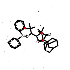 COC(=O)C12CC3CC(C1)C(N1CC(C(O[SiH](c4ccccc4)c4ccccc4)C(C)(C)C)C(C)(C)C1=O)C(C3)C2